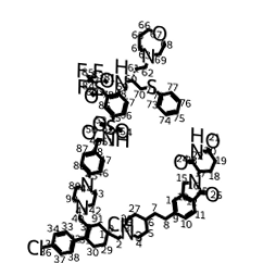 C[C@@]1(CN2CCC(CCc3ccc4c(c3)CN(C3CCC(=O)NC3=O)C4=O)CC2)CCC(c2ccc(Cl)cc2)=C(CN2CCN(c3ccc(C(=O)NS(=O)(=O)c4ccc(N[C@H](CCN5CCCOCC5)CSc5ccccc5)c(S(=O)(=O)C(F)(F)F)c4)cc3)CC2)C1